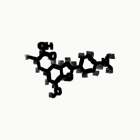 COc1cc(CC(C)C(=O)O)cc2cc(-c3ccc(N(C)C)cc3)oc12